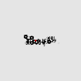 COc1ccc(NC(=O)CCOC2CCC3C4CCc5cc(OP(=O)(OCc6ccccc6)OCc6ccccc6)ccc5C4CCC23C)c(O)c1C(N)=O